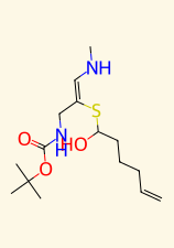 C=CCCCC(O)S/C(=C\NC)CNC(=O)OC(C)(C)C